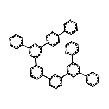 c1ccc(-c2ccc(-c3nc(-c4ccccc4)nc(-c4cccc(-c5cccc(-c6cc(-c7cccnc7)nc(-c7ccccn7)c6)c5)c4)n3)cc2)cc1